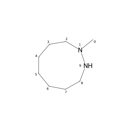 CN1CCCCCCCN1